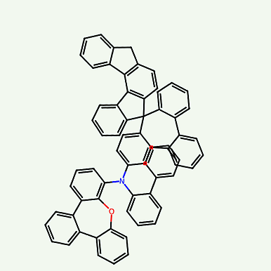 c1ccc(-c2ccccc2N(c2ccc3c(c2)-c2ccccc2-c2ccccc2C32c3ccccc3-c3c2ccc2c3-c3ccccc3C2)c2cccc3c2Oc2ccccc2-c2ccccc2-3)cc1